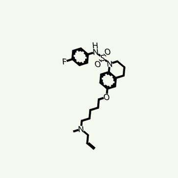 C=CCN(C)CCCCCOc1ccc2c(c1)CCCN2S(=O)(=O)Nc1ccc(F)cc1